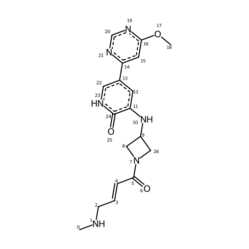 CNCC=CC(=O)N1CC(Nc2cc(-c3cc(OC)ncn3)c[nH]c2=O)C1